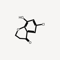 O=C1CCOc2c(O)cc(Cl)cc21